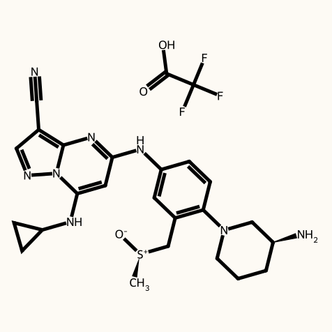 C[S@@+]([O-])Cc1cc(Nc2cc(NC3CC3)n3ncc(C#N)c3n2)ccc1N1CCC[C@H](N)C1.O=C(O)C(F)(F)F